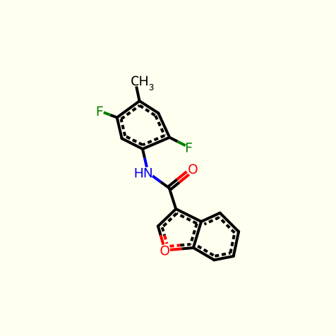 Cc1cc(F)c(NC(=O)c2coc3ccccc23)cc1F